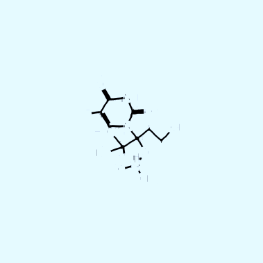 C[SiH](C)OC(CCO)(n1cc(F)c(=O)[nH]c1=O)C(C)(C)C